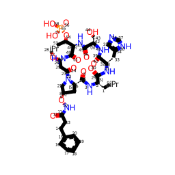 CC(C)C[C@H](NC(=O)[C@@H]1C[C@@H](ONC(=O)CCc2ccccc2)CN1C(=O)CCOC(C)C)C(=O)N[C@@H](Cc1cnc[nH]1)C(=O)N[C@@H](CO)C(=O)N[C@H](C(N)=O)C(C)OP(=O)(O)O